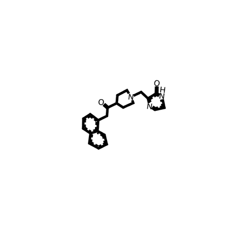 O=C(Cc1cccc2ccccc12)C1CCN(Cc2ncc[nH]c2=O)CC1